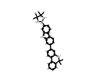 CC1(C)Oc2cc(-c3ccc4c(c3)oc3cc(B5OC(C)(C)C(C)(C)O5)ccc34)ccc2-c2ccccc21